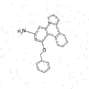 Nc1cc(OCc2ccccc2)c2c3ccccc3c3cccn3c2c1